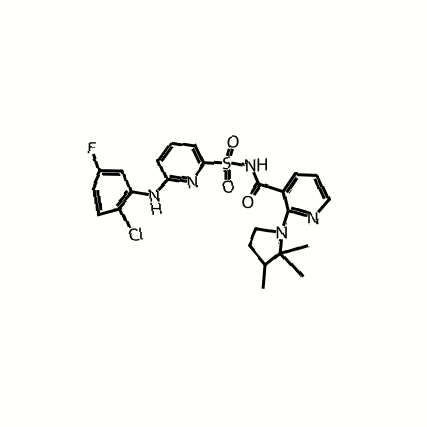 CC1CCN(c2ncccc2C(=O)NS(=O)(=O)c2cccc(Nc3cc(F)ccc3Cl)n2)C1(C)C